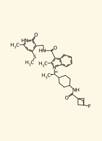 CSc1cc(C)[nH]c(=O)c1CNC(=O)c1c(C)n([C@H](C)C2CCC(NC(=O)C34CC(F)(C3)C4)CC2)c2ccccc12